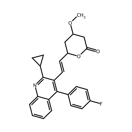 COC1CC(=O)OC(/C=C/c2c(C3CC3)nc3ccccc3c2-c2ccc(F)cc2)C1